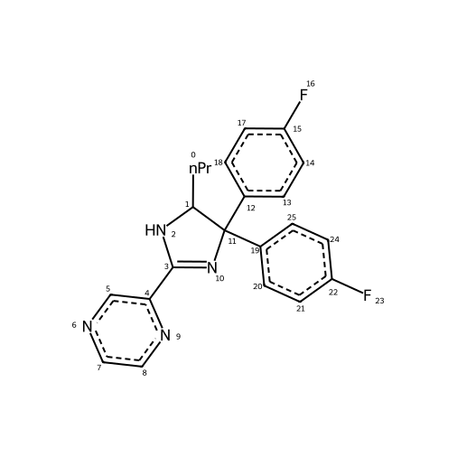 CCCC1NC(c2cnccn2)=NC1(c1ccc(F)cc1)c1ccc(F)cc1